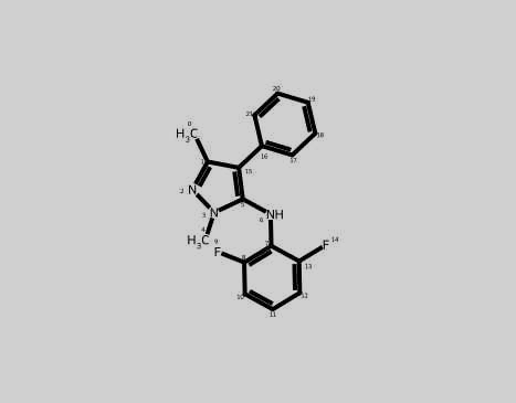 Cc1nn(C)c(Nc2c(F)cccc2F)c1-c1ccccc1